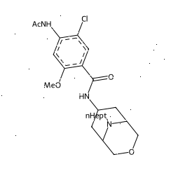 CCCCCCCN1C2COCC1CC(NC(=O)c1cc(Cl)c(NC(C)=O)cc1OC)C2